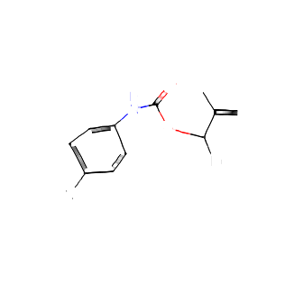 [CH2]CC(OC(=O)Nc1ccc([N+](=O)[O-])cc1)C(=C)C